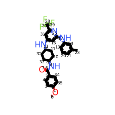 COc1ccc(C(=O)NC2CCC(Nc3cc(Nc4cccc(C)c4)nc(C(F)(F)F)c3)CC2)cc1